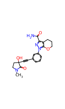 CN1CCC(O)(C#Cc2cccc(-n3nc(C(N)=O)c4c3OCCC4)c2)C1=O